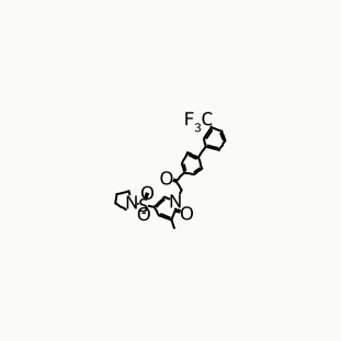 Cc1cc(S(=O)(=O)N2CCCC2)cn(CC(=O)c2ccc(-c3cccc(C(F)(F)F)c3)cc2)c1=O